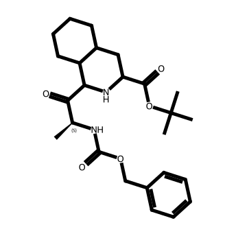 C[C@H](NC(=O)OCc1ccccc1)C(=O)C1NC(C(=O)OC(C)(C)C)CC2CCCCC21